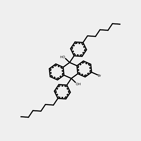 CCCCCCc1ccc(C2(O)c3ccccc3C(O)(c3ccc(CCCCCC)cc3)c3cc(Br)ccc32)cc1